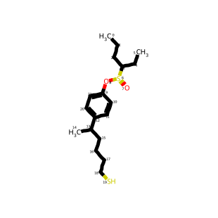 CCCC(CC)S(=O)Oc1ccc(C(C)CCCCS)cc1